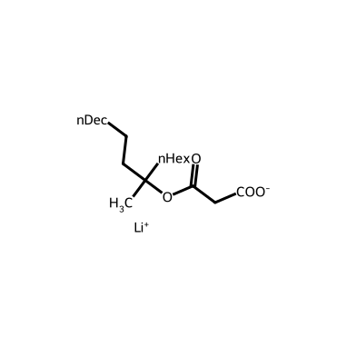 CCCCCCCCCCCCC(C)(CCCCCC)OC(=O)CC(=O)[O-].[Li+]